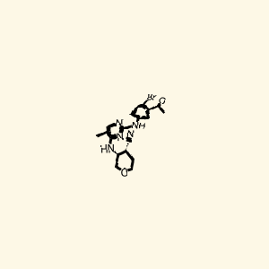 CC(=O)c1cc(Nc2ncc(C)c(N[C@@H]3COCC[C@H]3C#N)n2)ccc1Br